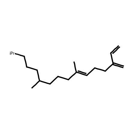 C=CC(=C)CC/C=C(\C)CCCC(C)CCCC(C)C